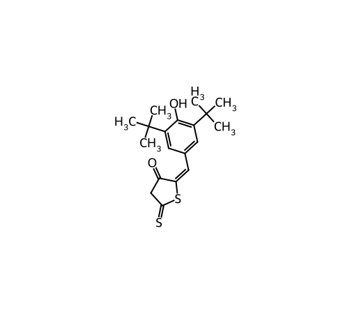 CC(C)(C)c1cc(C=C2SC(=S)CC2=O)cc(C(C)(C)C)c1O